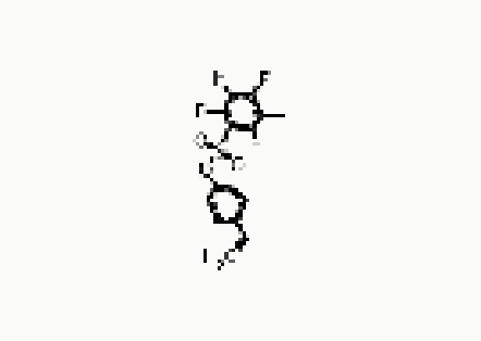 C=Cc1ccc(OS(=O)(=O)c2c(F)c(F)c(F)c(F)c2F)cc1